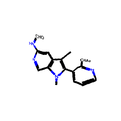 COc1ncccc1-c1c(C)c2cc(NC=O)ncc2n1C